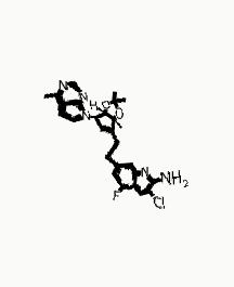 Cc1ncnc2c1ccn2[C@@H]1C=C(CCc2cc(F)c3cc(Cl)c(N)nc3c2)[C@@]2(C)OC(C)(C)O[C@@H]12